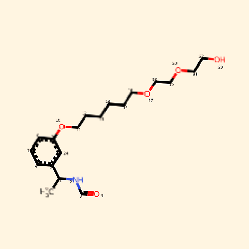 CC(NC=O)c1cccc(OCCCCCCOCCOCCO)c1